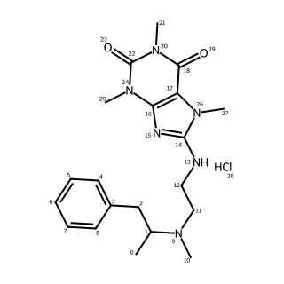 CC(Cc1ccccc1)N(C)CCNc1nc2c(c(=O)n(C)c(=O)n2C)n1C.Cl